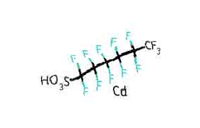 O=S(=O)(O)C(F)(F)C(F)(F)C(F)(F)C(F)(F)C(F)(F)C(F)(F)F.[Cd]